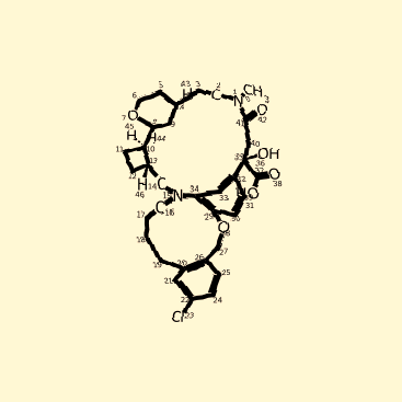 CN1CC[C@@H]2CCO[C@@H](C2)[C@@H]2CC[C@H]2CN2CCCCc3cc(Cl)ccc3COc3ccc(cc32)[C@@](O)(C(=O)O)CC1=O